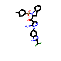 Cc1ccc(S(=O)(=O)n2c(C(=O)c3cnn(-c4ccc5[nH]c(C(F)F)nc5c4)c3N)cc3ccccc32)cc1